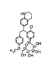 COc1ccc(CC(c2ccc3c(c2)CCCN3)c2cc([C@@H]3O[C@H](CO)[C@@H](O)[C@H](O)[C@H]3O)ccc2Cl)cc1